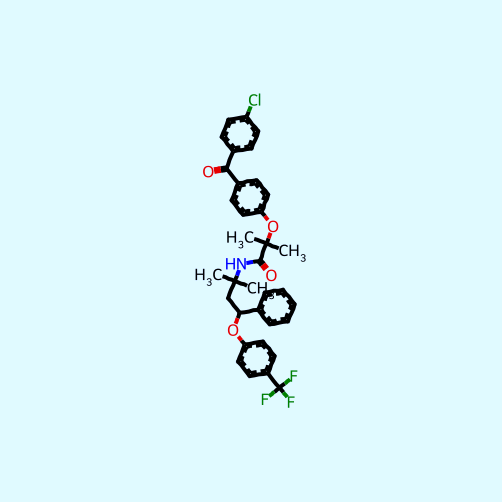 CC(C)(CC(Oc1ccc(C(F)(F)F)cc1)c1ccccc1)NC(=O)C(C)(C)Oc1ccc(C(=O)c2ccc(Cl)cc2)cc1